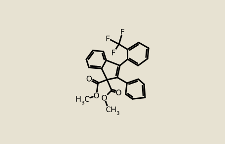 COC(=O)C1(C(=O)OC)C(c2ccccc2)=C(c2ccccc2C(F)(F)F)c2ccccc21